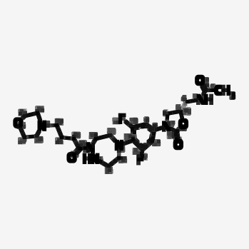 CC(=O)NC[C@H]1CN(c2cc(F)c(N3CCNN(C(=O)CCCN4CCOCC4)CC3)c(F)c2)C(=O)O1